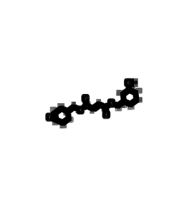 O=C(/C=C/C(=O)OCC1CCC2OC2C1)OCC1CCCC(O)C1